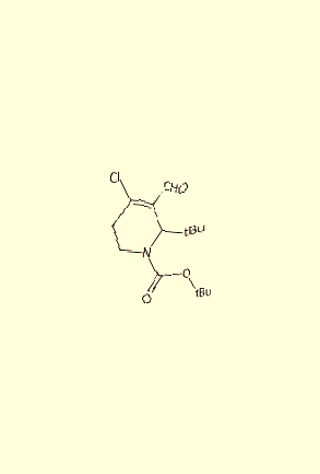 CC(C)(C)OC(=O)N1CCC(Cl)=C(C=O)C1C(C)(C)C